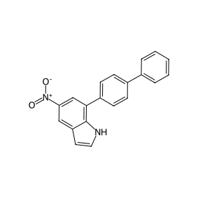 O=[N+]([O-])c1cc(-c2ccc(-c3ccccc3)cc2)c2[nH]ccc2c1